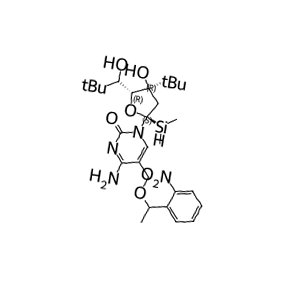 CC(OCc1cn([C@@]2([SiH](C)C)C[C@@](O)(C(C)(C)C)[C@@H](C(O)C(C)(C)C)O2)c(=O)nc1N)c1ccccc1[N+](=O)[O-]